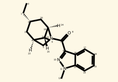 CC[C@H]1C[C@@H]2CN(C(=O)c3nn(C)c4ccccc34)[C@H](C1)[C@@H]2C